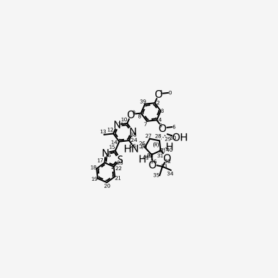 COc1cc(OC)cc(Oc2nc(C)c(-c3nc4ccccc4s3)c(N[C@@H]3C[C@H](CO)[C@H]4OC(C)(C)O[C@H]43)n2)c1